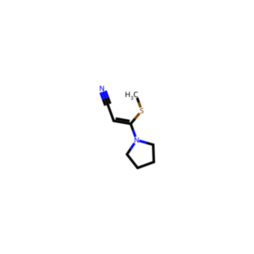 CS/C(=C\C#N)N1CCCC1